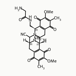 COC1=C(C)C(=O)C2=C(C1=O)[C@H]1[C@@H]3CC4=C(C(=O)C(OC)=C(C)C4=O)[C@H](CNC(=O)CN)N3C(C#N)[C@@H](C2)N1C